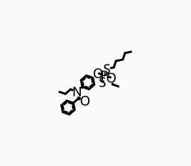 CCCCCSP(=S)(OCC)Oc1ccc(N(CCC)C(=O)c2ccccc2)cc1